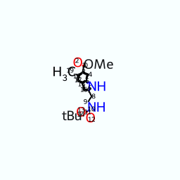 COC(=O)c1cc2[nH]c(CCNC(=O)OC(C)(C)C)cc2cc1C